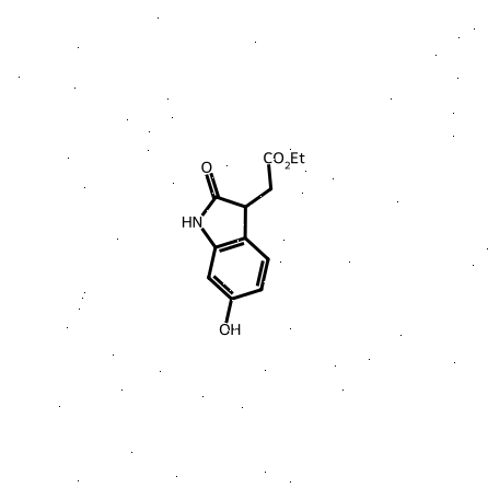 CCOC(=O)CC1C(=O)Nc2cc(O)ccc21